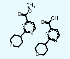 COC(=O)c1ccnc(C2CCOCC2)n1.O=C(O)c1ccnc(C2CCOCC2)n1